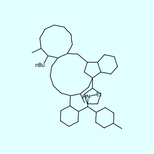 CCCCC1C(C)CCCCCCC2CC3CC(C4CCCC4)(CC(C)C(C4CCCCC4C(NCC)C4CCC(C)CC4)CCCCC21)C1CCCCC31